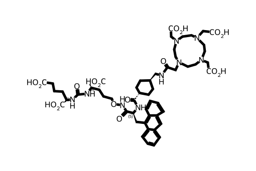 O=C(O)CCC[C@H](NC(=O)N[C@@H](CCCONC(=O)[C@H](Cc1c2ccccc2cc2ccccc12)NC(=O)[C@H]1CC[C@H](CNC(=O)CN2CCN(CC(=O)O)CCN(CC(=O)O)CCN(CC(=O)O)CC2)CC1)C(=O)O)C(=O)O